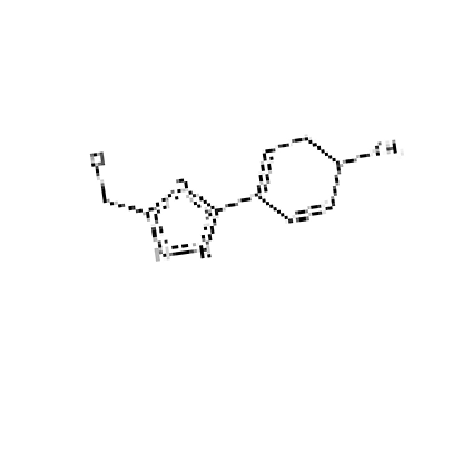 CC1C=CC(c2nnc(CCl)o2)=CC1